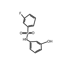 O=S(=O)(Nc1cccc(O)c1)c1cccc(F)c1